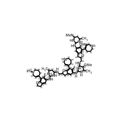 CNC1CC(C)NC(Nc2cc3c(c(C4=CCNCCC4)c2OC)OC(CNC2NC(Nc4cc5c(c(C6=CCNCCC6)c4F)OC(CNC4CC(C)NC(Nc6cc7c(c(C8=CCN(C(C)C)CCC8)c6F)OCC7)N4)C5)NC(C)C2OC)C3)N1